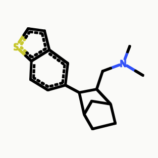 CN(C)CC1C2CCC(C2)C1c1ccc2sccc2c1